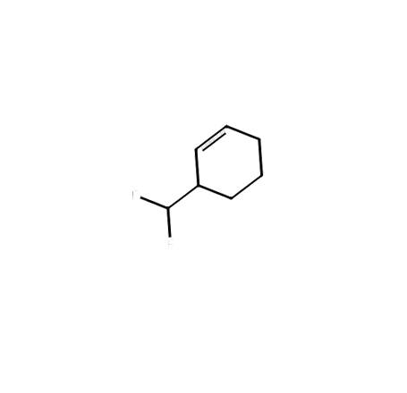 FC(F)C1C=[C]CCC1